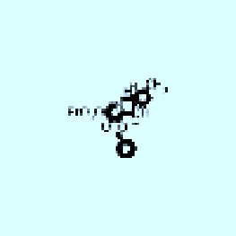 CCOC(=O)c1cn2c(c(OCc3ccccc3)c1=O)C(=O)N1[C@@H]3C[C@@H]([C@H](C)C3)[C@@H]1C2